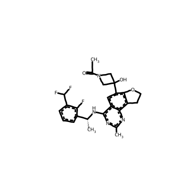 CC(=O)N1CC(O)(c2cc3c(N[C@H](C)c4cccc(C(F)F)c4F)nc(C)nc3c3c2OCC3)C1